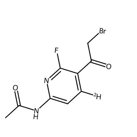 [2H]c1cc(NC(C)=O)nc(F)c1C(=O)CBr